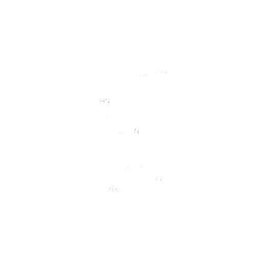 CC(C)(C)OC(=O)CN1CCNC(CO)C1